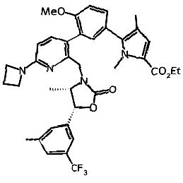 CCOC(=O)c1cc(C)c(-c2ccc(OC)c(-c3ccc(N4CCC4)nc3CN3C(=O)O[C@H](c4cc(C)cc(C(F)(F)F)c4)[C@@H]3C)c2)n1C